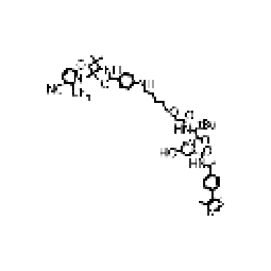 Cc1ncsc1-c1ccc([C@H](C)NC(=O)[C@@H]2C[C@@H](O)CN2C(=O)C(NC(=O)COCCCCCNc2ccc(C(=O)N[C@H]3C(C)(C)[C@H](Oc4ccc(C#N)c(C(F)(F)F)n4)C3(C)C)cc2)C(C)(C)C)cc1